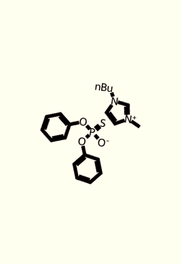 CCCCn1cc[n+](C)c1.[O-]P(=S)(Oc1ccccc1)Oc1ccccc1